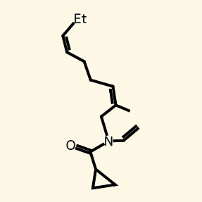 C=CN(C/C(C)=C\CC/C=C\CC)C(=O)C1CC1